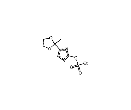 CCS(=O)(=O)Oc1nc(C2(C)OCCO2)cs1